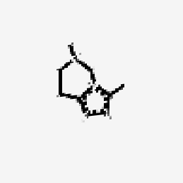 Cc1nnc2n1CN(C)CC2